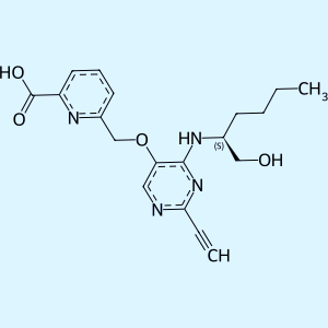 C#Cc1ncc(OCc2cccc(C(=O)O)n2)c(N[C@H](CO)CCCC)n1